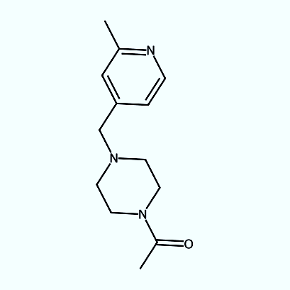 CC(=O)N1CCN(Cc2ccnc(C)c2)CC1